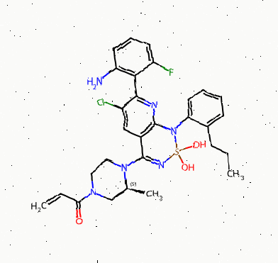 C=CC(=O)N1CCN(C2=NS(O)(O)N(c3ccccc3CCC)c3nc(-c4c(N)cccc4F)c(Cl)cc32)[C@@H](C)C1